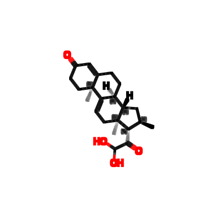 C[C@@H]1C[C@H]2[C@@H]3CCC4=CC(=O)CC[C@]4(C)C3=CC[C@]2(C)[C@H]1C(=O)C(O)O